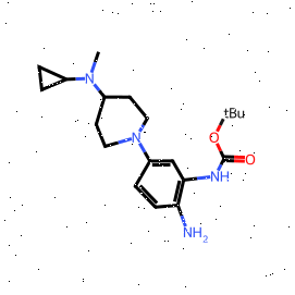 CN(C1CC1)C1CCN(c2ccc(N)c(NC(=O)OC(C)(C)C)c2)CC1